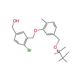 Cc1ccc(CO[Si](C)(C)C(C)(C)C)cc1OCc1cc(CO)ccc1Br